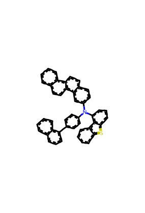 c1ccc2c(-c3ccc(N(c4ccc5ccc6c7ccccc7ccc6c5c4)c4cccc5sc6ccccc6c45)cc3)cccc2c1